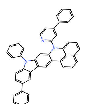 c1ccc(-c2ccnc(N3c4cc5c(cc4-c4cccc6cccc3c46)c3cc(-c4ccccc4)ccc3n5-c3ccccc3)c2)cc1